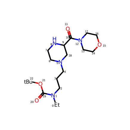 CCN(CCCN1CCNC(C(=O)N2CCOCC2)C1)C(=O)OC(C)(C)C